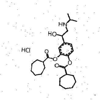 CC(C)NCC(O)c1ccc(OC(=O)C2CCCCCC2)c(OC(=O)C2CCCCCC2)c1.Cl